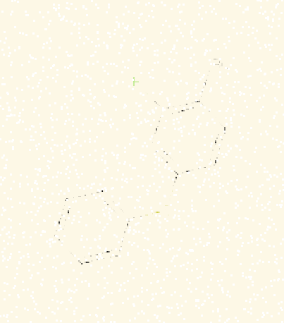 CCC(C)c1ccc(Sc2ccccc2)cc1F